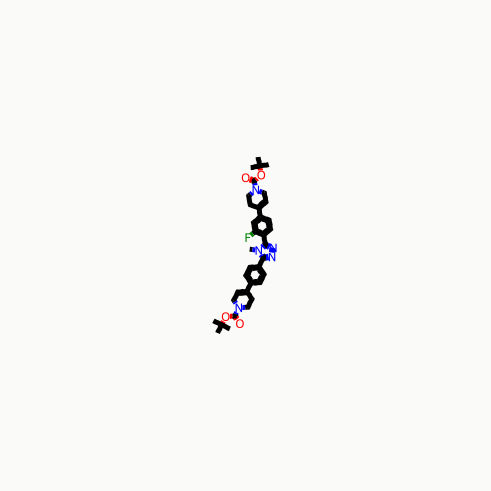 Cn1c(-c2ccc(C3=CCN(C(=O)OC(C)(C)C)CC3)cc2)nnc1-c1ccc(C2=CCN(C(=O)OC(C)(C)C)CC2)cc1F